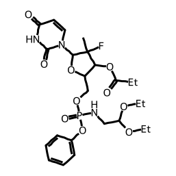 CCOC(CNP(=O)(OCC1OC(n2ccc(=O)[nH]c2=O)C(C)(F)C1OC(=O)CC)Oc1ccccc1)OCC